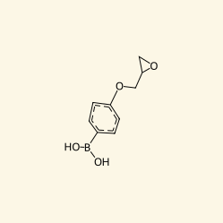 OB(O)c1ccc(OCC2CO2)cc1